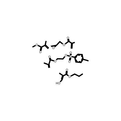 C=C(C)C(=O)OC.C=C(C)C(=O)OCC1CO1.C=C(C)C(=O)OCCOS(=O)(=O)c1ccc(C)cc1.CCCOC(=O)C(C)=CO